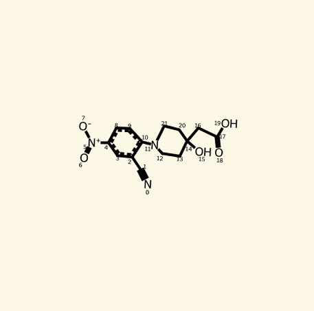 N#Cc1cc([N+](=O)[O-])ccc1N1CCC(O)(CC(=O)O)CC1